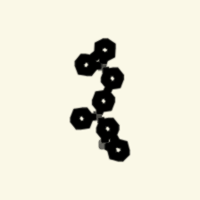 c1ccc(N(c2ccc(-c3cccc(-n4c5ccccc5c5ccccc54)c3)cc2)c2ccc3c(c2)oc2ccccc23)cc1